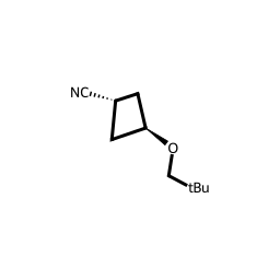 CC(C)(C)CO[C@H]1C[C@H](C#N)C1